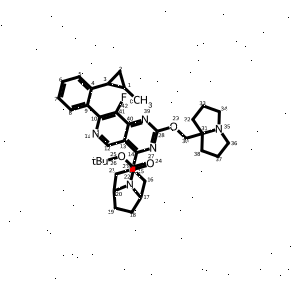 CC1CC1c1ccccc1-c1ncc2c(N3CC4CCC(C3)N4C(=O)OC(C)(C)C)nc(OCC34CCCN3CCC4)nc2c1F